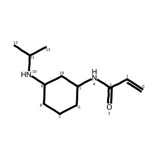 C=CC(=O)NC1CCCC(NC(C)C)C1